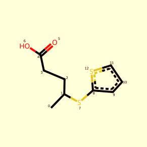 CC(CCC(=O)O)Sc1cccs1